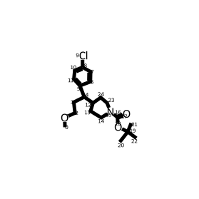 COCCC(c1ccc(Cl)cc1)C1CCN(C(=O)OC(C)(C)C)CC1